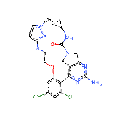 Cn1ccc(NCCOc2cc(Cl)cc(Cl)c2-c2nc(N)nc3c2CN(C(=O)NC2CC2)C3)n1